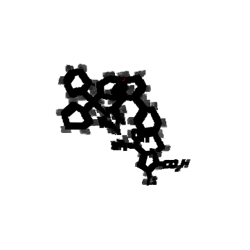 CCCC(O)c1cc(CC)c(C(=O)O)n1Cc1ccc(-c2ccccc2-c2nnnn2C(c2ccccc2)(c2ccccc2)c2ccccc2)cc1